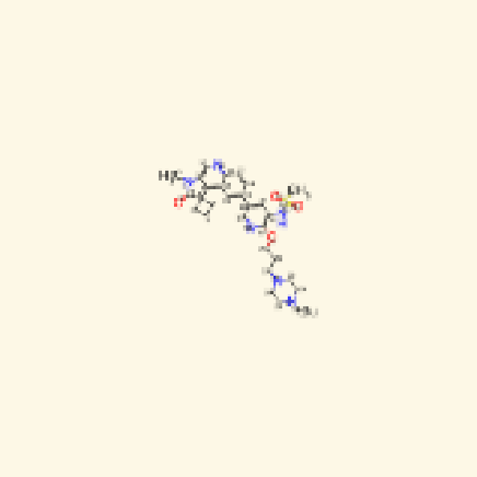 CN1C(=O)C2(CCC2)c2c1cnc1ccc(-c3cnc(OCCCN4CCN(C(C)(C)C)CC4)c(NS(C)(=O)=O)c3)cc21